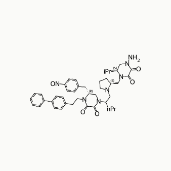 CCCC(CN1CCC[C@H]1CN1C(=O)C(=O)N(N)C[C@@H]1C(C)C)N1C[C@@H](Cc2ccc(N=O)cc2)N(CCc2ccc(-c3ccccc3)cc2)C(=O)C1=O